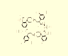 CCCCN(C)C(=O)C(CCN1CCC2(CC1)OC(=O)Nc1ccc(F)cc12)c1ccc(Cl)c(Cl)c1.O=C1Nc2ccc(F)cc2C2(CCN(CCC(C(=O)O)c3ccc(Cl)c(Cl)c3)CC2)O1